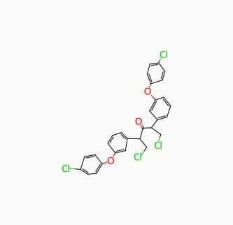 O=C(C(CCl)c1cccc(Oc2ccc(Cl)cc2)c1)C(CCl)c1cccc(Oc2ccc(Cl)cc2)c1